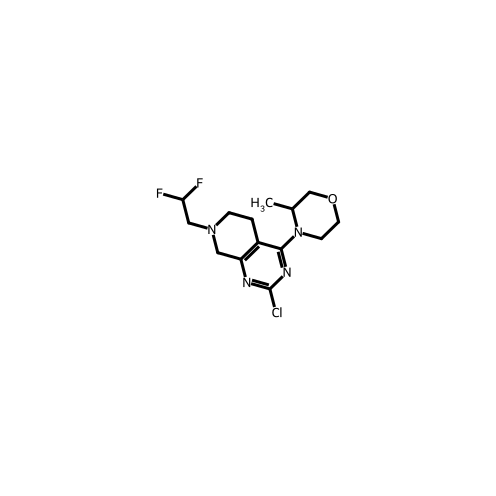 CC1COCCN1c1nc(Cl)nc2c1CCN(CC(F)F)C2